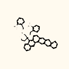 O=[N+]([O-])c1ccccc1CO[SiH]1CC(OCc2ccccc2[N+](=O)[O-])(c2c3ccccc3cc3c2ccc2cc4cc5ccccc5cc4cc23)CCO1